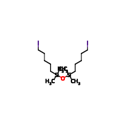 C[Si](C)(CCCCCI)O[Si](C)(C)CCCCCI